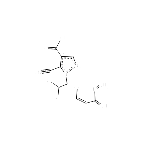 C=NC(=C)/C=C\C[C@H](C(C)Cl)n1ncc(C(=O)O)c1C#N